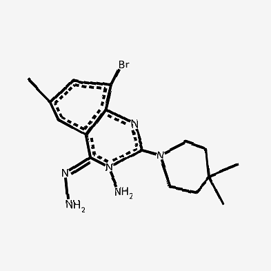 Cc1cc(Br)c2nc(N3CCC(C)(C)CC3)n(N)/c(=N\N)c2c1